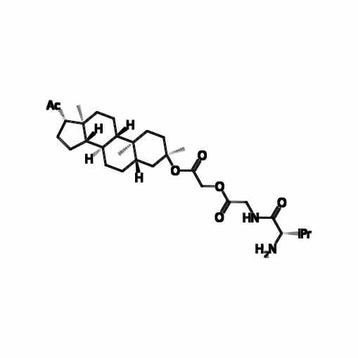 CC(=O)[C@H]1CC[C@H]2[C@@H]3CC[C@H]4C[C@](C)(OC(=O)COC(=O)CNC(=O)[C@@H](N)C(C)C)CC[C@]4(C)[C@H]3CC[C@]12C